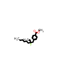 C=CC(F)(CCCCCC)Cc1ccc(C(=O)OC)cc1